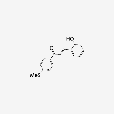 CSc1ccc(C(=O)/C=C/c2ccccc2O)cc1